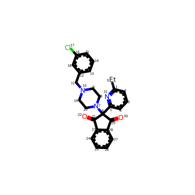 CCc1cccc(C2(N3CCN(Cc4cccc(Cl)c4)CC3)C(=O)c3ccccc3C2=O)n1